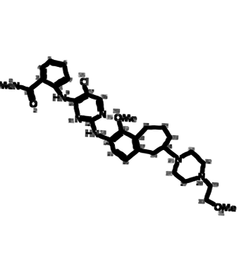 CNC(=O)c1ccccc1Nc1nc(Nc2ccc3c(c2OC)CCCC(N2CCN(CCOC)CC2)C3)ncc1Cl